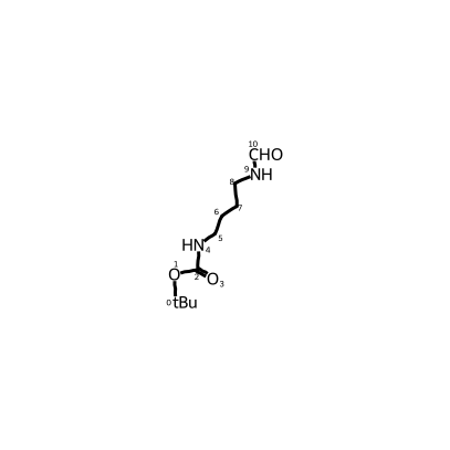 CC(C)(C)OC(=O)NCCCCNC=O